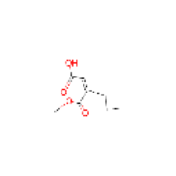 CCCC(=CC(=O)O)C(=O)OC